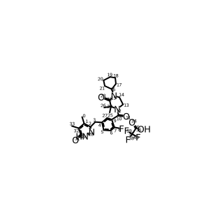 Cc1c(Cc2ccc(F)c(C(=O)N3CCN(C4CCCCC4)C(=O)C3(C)C)c2)n[nH]c(=O)c1C.O=C(O)C(F)(F)F